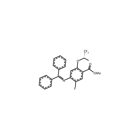 COC(=O)c1cc(F)c(N=C(c2ccccc2)c2ccccc2)cc1O[C@@H](C)C(F)(F)F